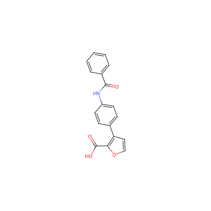 O=C(Nc1ccc(-c2ccoc2C(=O)O)cc1)c1ccccc1